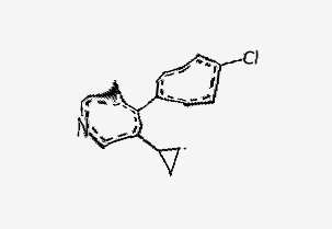 Clc1ccc(-c2ccncc2C2[CH]C2)cc1